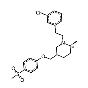 C[C@H]1CCC(COc2ccc(S(C)(=O)=O)cc2)CN1CCc1cccc(Cl)c1